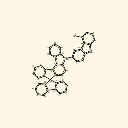 Brc1cccc2sc3ccc(-n4c5ccccc5c5c6c(ccc54)C4(c5ccccc5-c5ccccc54)c4ccccc4-6)cc3c12